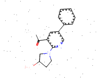 COC(=O)c1cc(-c2ccccc2)cnc1N1CCC(O)C1